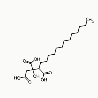 CCCCCCCCCCCCCC(C(=O)O)C(O)(CC(=O)O)C(=O)O